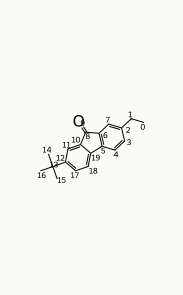 CCc1ccc2c(c1)C(=O)c1cc(C(C)(C)C)ccc1-2